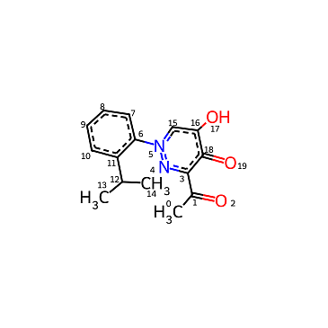 CC(=O)c1nn(-c2ccccc2C(C)C)cc(O)c1=O